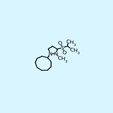 CC(C)S(=O)(=O)C1CCN(C2CCCCCCCC2)N1C